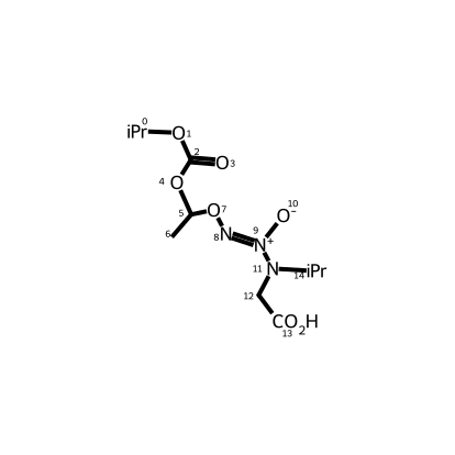 CC(C)OC(=O)OC(C)ON=[N+]([O-])N(CC(=O)O)C(C)C